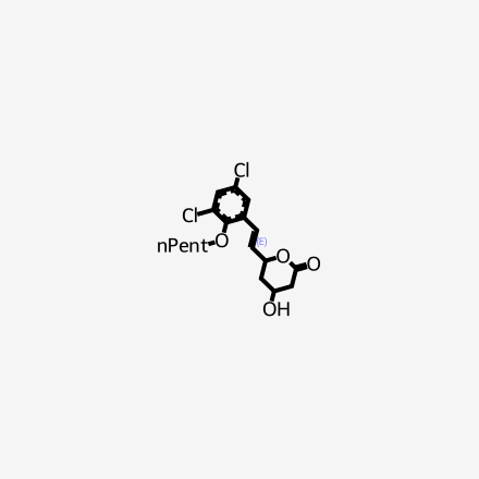 CCCCCOc1c(Cl)cc(Cl)cc1/C=C/C1CC(O)CC(=O)O1